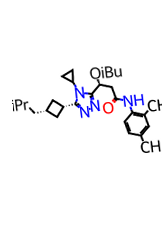 Cc1ccc(NC(=O)C[C@H](OCC(C)C)c2nnc([C@H]3C[C@@H](CC(C)C)C3)n2C2CC2)c(C)c1